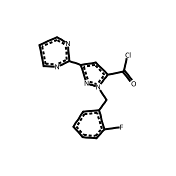 O=C(Cl)c1cc(-c2ncccn2)nn1Cc1ccccc1F